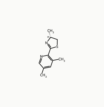 Cc1cnc(C2=N[C@H](C)CS2)c(C)c1